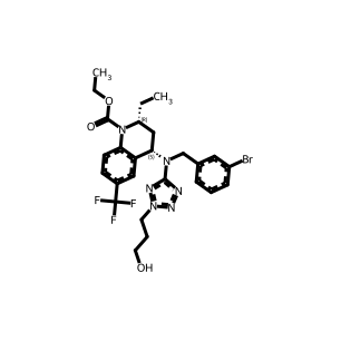 CCOC(=O)N1c2ccc(C(F)(F)F)cc2[C@@H](N(Cc2cccc(Br)c2)c2nnn(CCCO)n2)C[C@H]1CC